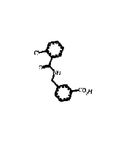 O=C(O)c1cccc(CNC(=O)c2ccccc2Cl)c1